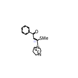 CS/C(=C\C(=O)c1ccccc1)N1CCN2CCC1CC2